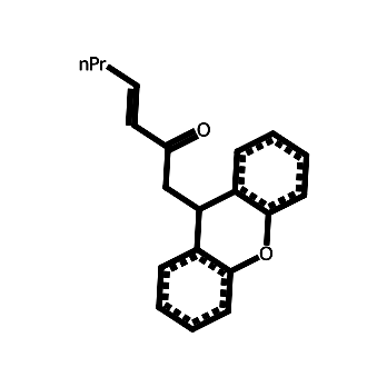 CCCC=CC(=O)CC1c2ccccc2Oc2ccccc21